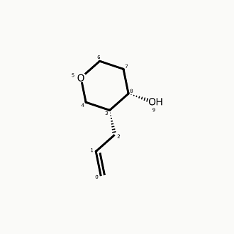 C=CC[C@@H]1COCC[C@@H]1O